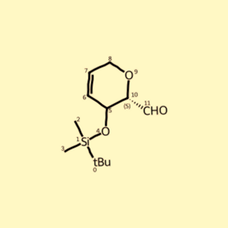 CC(C)(C)[Si](C)(C)OC1C=CCO[C@@H]1C=O